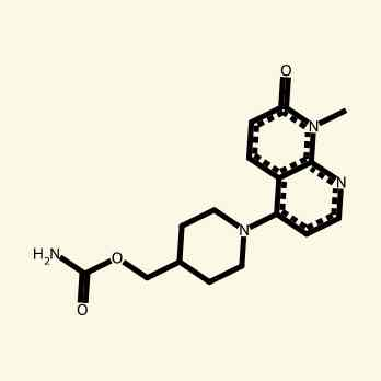 Cn1c(=O)ccc2c(N3CCC(COC(N)=O)CC3)ccnc21